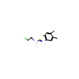 Cc1cc2nc(NC(=O)CCl)sc2cc1C